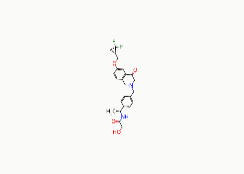 C[C@H](NC(=O)CO)c1ccc(CN2CC(=O)c3cc(OCC4CC4(F)F)ccc3C2)cc1